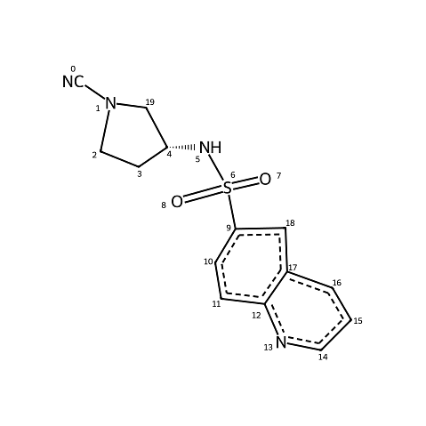 N#CN1CC[C@@H](NS(=O)(=O)c2ccc3ncccc3c2)C1